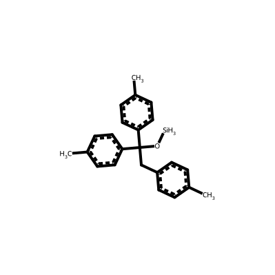 Cc1ccc(CC(O[SiH3])(c2ccc(C)cc2)c2ccc(C)cc2)cc1